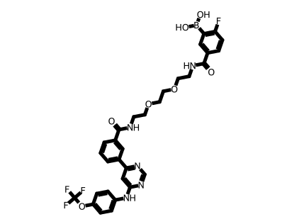 O=C(NCCOCCOCCNC(=O)c1ccc(F)c(B(O)O)c1)c1cccc(-c2cc(Nc3ccc(OC(F)(F)F)cc3)ncn2)c1